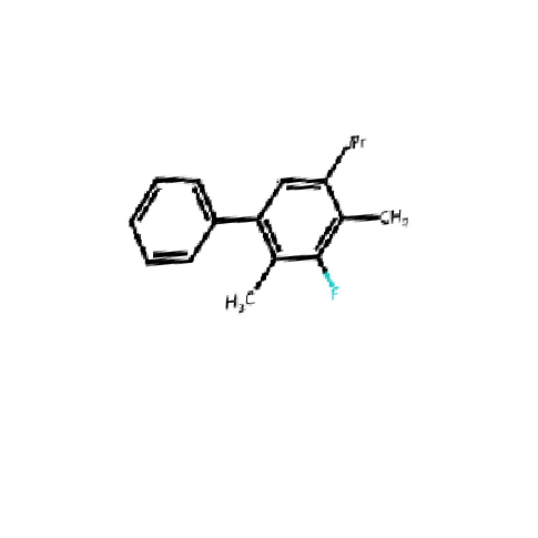 Cc1c(-c2ccccc2)[c]c(C(C)C)c(C)c1F